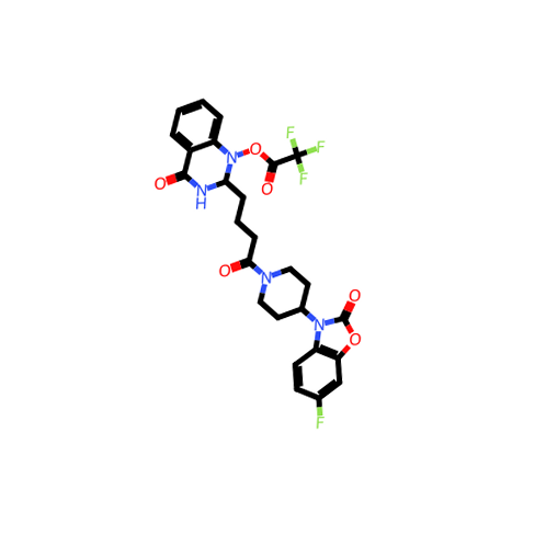 O=C1NC(CCCC(=O)N2CCC(n3c(=O)oc4cc(F)ccc43)CC2)N(OC(=O)C(F)(F)F)c2ccccc21